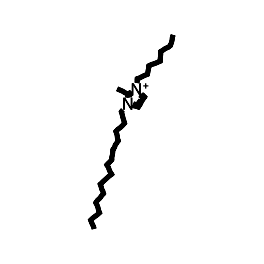 CCCCCCCCCCCCCCn1cc[n+](CCCCCCC)c1C